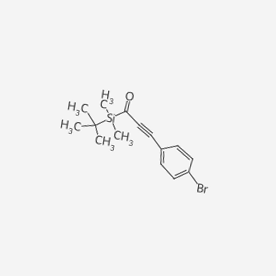 CC(C)(C)[Si](C)(C)C(=O)C#Cc1ccc(Br)cc1